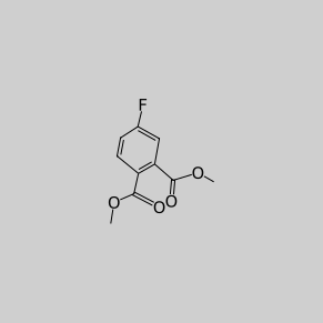 COC(=O)c1ccc(F)cc1C(=O)OC